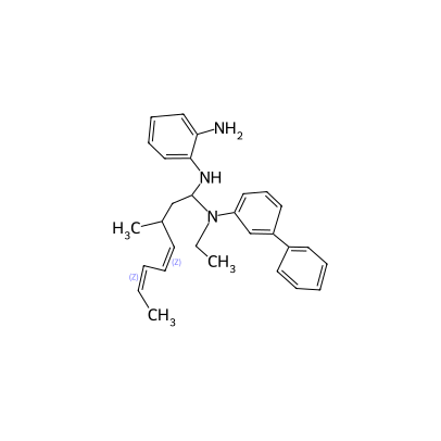 C/C=C\C=C/C(C)CC(Nc1ccccc1N)N(CC)c1cccc(-c2ccccc2)c1